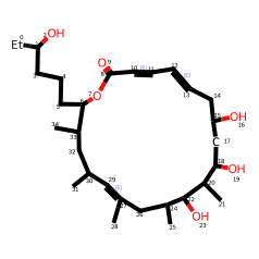 CCC(O)CCCC1OC(=O)/C=C/C=C/CC(O)CC(O)C(C)C(O)C(C)C/C(C)=C/C(C)CC1C